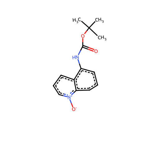 CC(C)(C)OC(=O)Nc1cccc2c1ccc[n+]2[O-]